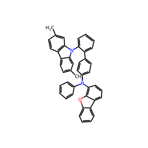 Cc1ccc2c3ccc(C)cc3n(-c3ccccc3-c3ccc(N(c4ccccc4)c4cccc5c4oc4ccccc45)cc3)c2c1